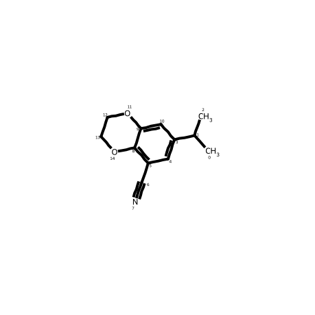 CC(C)c1cc(C#N)c2c(c1)OCCO2